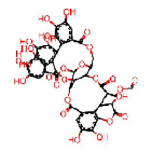 O=COCC1C(=O)OC2C3COC(=O)c4cc(O)c(O)c(O)c4-c4c(cc(O)c(O)c4O)C(=O)OC2C(OC(=O)c2cc(O)c(O)c4c2C1C(O)C(=O)O4)C(OC(=O)c1cc(O)c(O)c(O)c1)O3